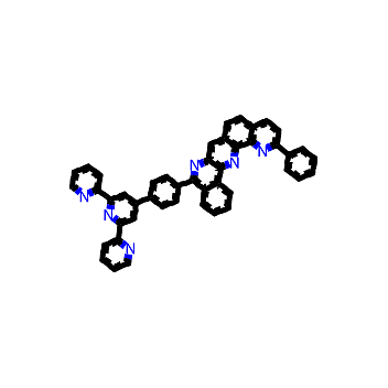 c1ccc(-c2ccc3ccc4cc5nc(-c6ccc(-c7cc(-c8ccccn8)nc(-c8ccccn8)c7)cc6)c6ccccc6c5nc4c3n2)cc1